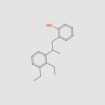 CCc1cccc(C(C)Cc2ccccc2O)c1CC